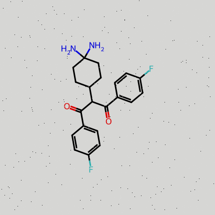 NC1(N)CCC(C(C(=O)c2ccc(F)cc2)C(=O)c2ccc(F)cc2)CC1